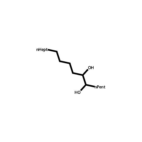 CCCCCCCCCCCC(O)C(O)CCCCC